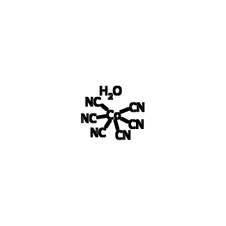 N#[C][Co]([C]#N)([C]#N)([C]#N)([C]#N)[C]#N.O